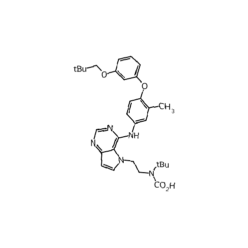 Cc1cc(Nc2ncnc3ccn(CCN(C(=O)O)C(C)(C)C)c23)ccc1Oc1cccc(OCC(C)(C)C)c1